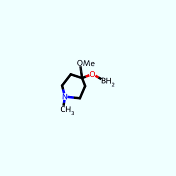 BOC1(OC)CCN(C)CC1